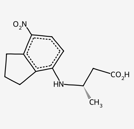 C[C@@H](CC(=O)O)Nc1ccc([N+](=O)[O-])c2c1CCC2